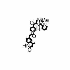 CNCC(NC(=O)c1ccccn1)C(=O)C1CCN(C(=O)Cc2ccc3[nH]c(=O)cc(C)c3c2)CC1